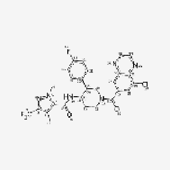 Cc1c(C(F)(F)F)nn(C)c1C(=O)N[C@@H]1CCN(C(=O)c2cc(Cl)c3nccnc3c2)C[C@@H]1c1ccc(F)cc1